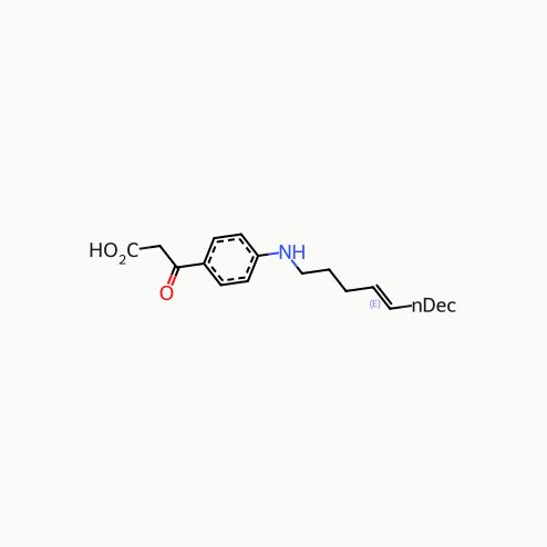 CCCCCCCCCC/C=C/CCCNc1ccc(C(=O)CC(=O)O)cc1